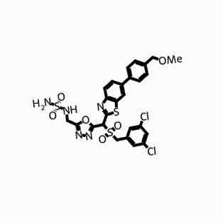 COCc1ccc(-c2ccc3nc(C(c4nnc(CNS(N)(=O)=O)o4)S(=O)(=O)Cc4cc(Cl)cc(Cl)c4)sc3c2)cc1